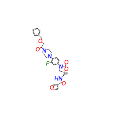 O=C(NC[C@H]1CN(c2ccc(N3CCN(C(=O)COCc4ccccc4)CC3)c(F)c2)C(=O)O1)c1ccoc1